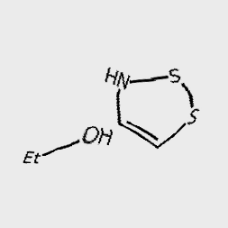 C1=CSSN1.CCO